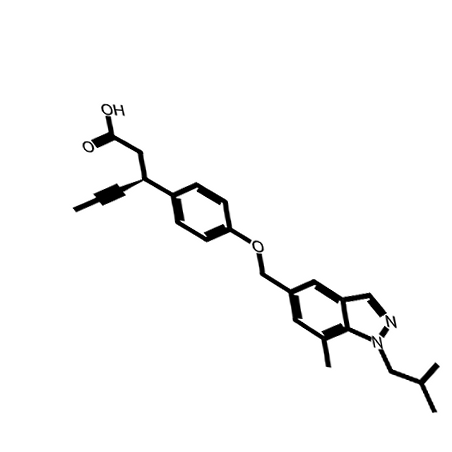 CC#C[C@@H](CC(=O)O)c1ccc(OCc2cc(C)c3c(cnn3CC(C)C)c2)cc1